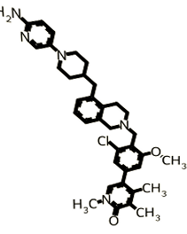 COc1cc(-c2cn(C)c(=O)c(C)c2C)cc(Cl)c1CN1CCc2c(CC3CCN(c4ccc(N)nc4)CC3)cccc2C1